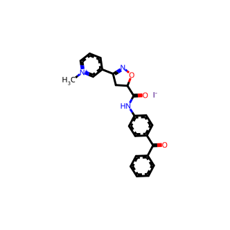 C[n+]1cccc(C2=NOC(C(=O)Nc3ccc(C(=O)c4ccccc4)cc3)C2)c1.[I-]